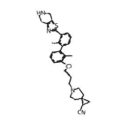 Cc1c(OCCCN2CCC3(CC2)CC3C#N)cccc1-c1cccc(-c2nc3c(s2)CNCC3)c1C